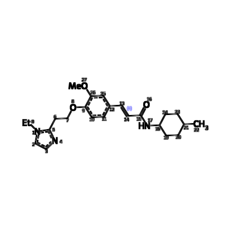 CCn1ccnc1CCOc1ccc(/C=C/C(=O)NC2CCC(C)CC2)cc1OC